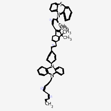 C=C/C=C\C=C/CN1C2=C(CCC=C2)N(C2C=CC(/C=C/C3=CCC4C(=C3)C(C)(C)C(C)=C4/C=C\C(=C)N3c4ccccc4Sc4ccccc43)=CC2)c2ccccc21